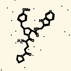 COc1ccc(CC2CC(C(=O)NCc3cc4ccncc4[nH]3)N(C(=O)C(N)CCC(=O)N3CCCC3)C2)cc1